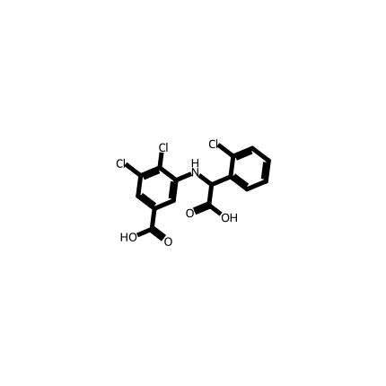 O=C(O)c1cc(Cl)c(Cl)c(NC(C(=O)O)c2ccccc2Cl)c1